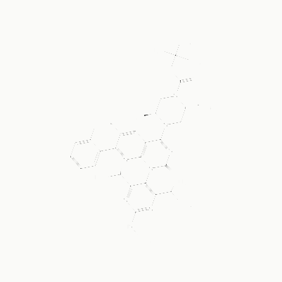 CNc1nc(C(C)C)c(-n2c(=O)nc(N3C[C@@H](C)N(C(=O)OC(C)(C)C)C[C@@H]3C)c3cc(Cl)c(-c4ccccc4F)nc32)c(C(C)C)n1